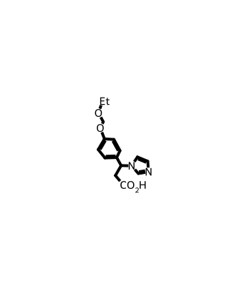 CCOCOc1ccc(C(CC(=O)O)n2ccnc2)cc1